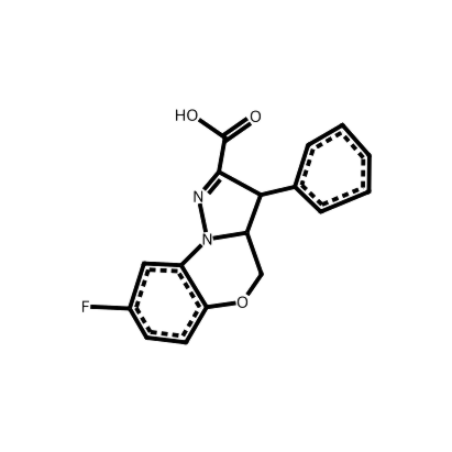 O=C(O)C1=NN2c3cc(F)ccc3OCC2C1c1ccccc1